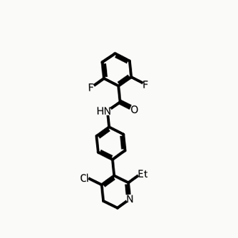 CCC1=NCCC(Cl)=C1c1ccc(NC(=O)c2c(F)cccc2F)cc1